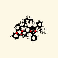 C=C[C@H]1C[N+]2(Cc3cc(-c4ccccc4)c(OC(C)(C)C)c(-c4ccccc4)c3)CC[C@H]1C[C@@H]2[C@@H](Oc1nc(-c2ccccc2)nc(Cl)c1-c1ccccc1)c1ccnc2ccc([O-])cc12